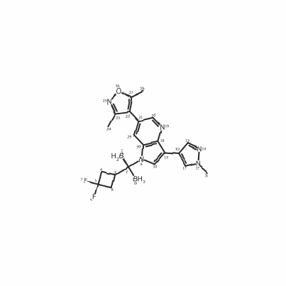 BC(B)(C1CC(F)(F)C1)n1cc(-c2cnn(C)c2)c2ncc(-c3c(C)noc3C)cc21